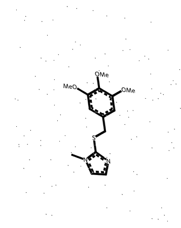 COc1cc(CSc2nccn2C)cc(OC)c1OC